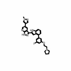 Cn1cc(-c2cnc3[nH]nc(-c4cc5c(-c6cc(F)cc(OCCN7CCCC7)c6)cccc5[nH]4)c3c2)cn1